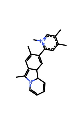 CC1=CC2=C(C)N3C=CC=CC3C2C=C1c1cc(C)c(C)c[n+]1C